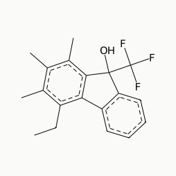 CCc1c(C)c(C)c(C)c2c1-c1ccccc1C2(O)C(F)(F)F